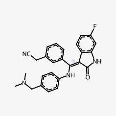 CN(C)Cc1ccc(N/C(=C2\C(=O)Nc3cc(F)ccc32)c2cccc(CC#N)c2)cc1